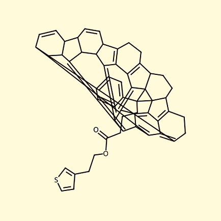 O=C(CCCC1(c2ccccc2)C23c4c5c6c7c8c4=C4CCC=8C8C=CC9C%10C=CC%11C%12=c%13c%14c(c-5c5c%13=C(CC%12)C(CCC42)C513)C6=C(C9C78)C%10C%14%11)OCCc1ccsc1